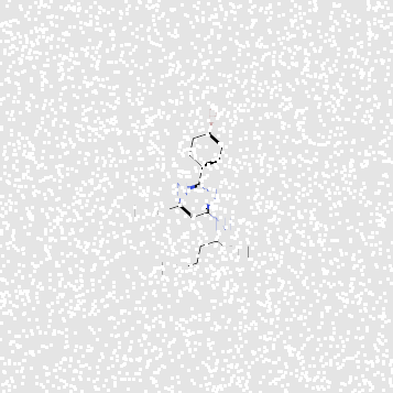 CCCC(C)Nc1cc(C)nc(C2=CC=C(Br)CC2)n1